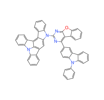 c1ccc(-n2c3ccccc3c3cc(-c4nc(-n5c6ccccc6c6c7c8ccccc8n8c9ccccc9c(cc65)c78)nc5oc6ccccc6c45)ccc32)cc1